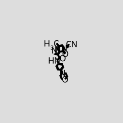 Cc1cn(CC#N)c(=O)c2c(C(=O)Nc3ccc(N4CCOCC4)cc3)cnn12